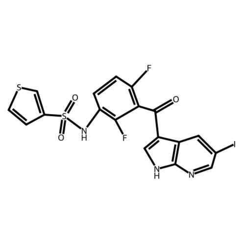 O=C(c1c(F)ccc(NS(=O)(=O)c2ccsc2)c1F)c1c[nH]c2ncc(I)cc12